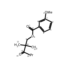 COc1cccc(C(=O)OCC(C)(C)C(=O)C(C)C)c1